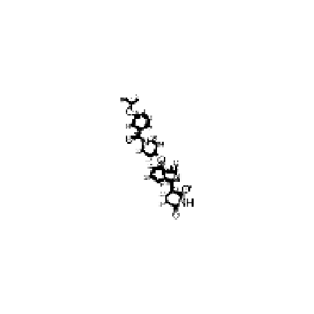 CC(C)Oc1cccc(C(=O)N2CCC(Oc3cccc4c(C5CCC(=O)NC5=O)nn(C)c34)CC2)c1